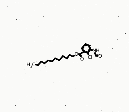 CCCCCCCCCCCCOC(=O)c1cccc(NC=O)c1Cl